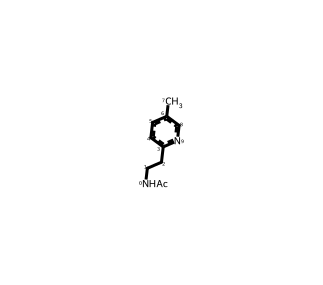 CC(=O)NCCc1ccc(C)cn1